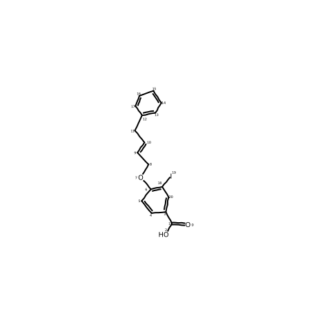 O=C(O)c1ccc(OC/C=C/Cc2ccccc2)c(I)c1